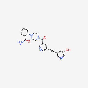 NC(=O)c1ccccc1N1CCN(C(=O)c2cncc(C#Cc3cncc(O)c3)c2)CC1